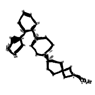 CCOC(=O)N1CC2(CC[C@@H](N3CCN(c4ncccc4-c4cn[nH]c4)CC3)C2)C1